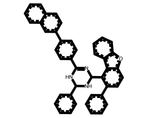 c1ccc(-c2ccc3oc4ccccc4c3c2C2N=C(c3ccc(-c4ccc5ccccc5c4)cc3)NC(c3ccccc3)N2)cc1